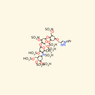 CCCn1cc(CO[C@@H]2C[C@H](COS(=O)(=O)O)[C@@H](O[C@@H]3C[C@@H](OS(=O)(=O)O)[C@H](O[C@@H]4C[C@@H](OS(=O)(=O)O)[C@H](N([C@H]5C=C(COS(=O)(=O)O)C(OS(=O)(=O)O)[C@H](OS(=O)(=O)O)C5)S(=O)(=O)O)[C@@H](C)O4)[C@@H](COS(=O)(=O)O)O3)[C@H](OS(=O)(=O)O)C2)nn1